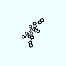 CC1(CC2=Cc3c(-c4ccc5ccccc5c4)cccc3[CH]2[Zr]([Cl])([Cl])[CH2][SiH2][CH2][Zr]([Cl])([Cl])[CH]2C(CC3(C)CCCC3)=Cc3c(-c4ccc5ccccc5c4)cccc32)CCCC1